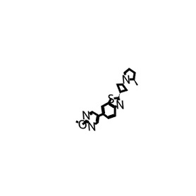 COc1ncc(-c2ccc3nc([C@H]4C[C@H](N5CCC[C@H]5C)C4)sc3c2)cn1